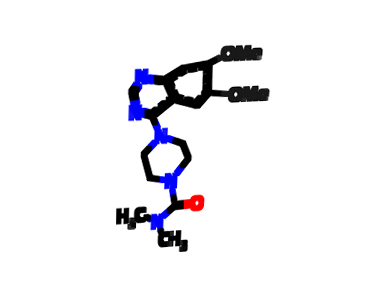 COc1cc2ncnc(N3CCN(C(=O)N(C)C)CC3)c2cc1OC